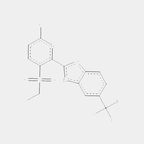 CCS(=O)(=O)c1ccc(Cl)nc1-c1nc2cc(C(F)(F)F)ccc2o1